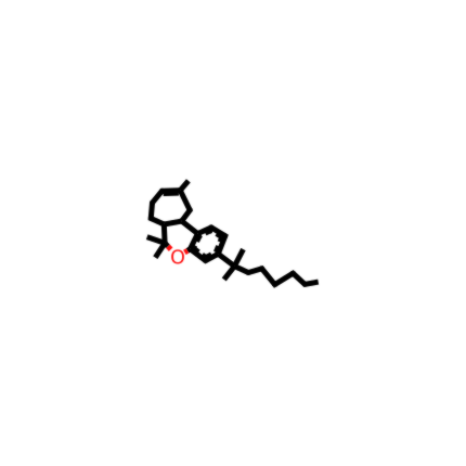 CCCCCCC(C)(C)c1ccc2c(c1)OC(C)(C)C1CCC=C(C)CC21